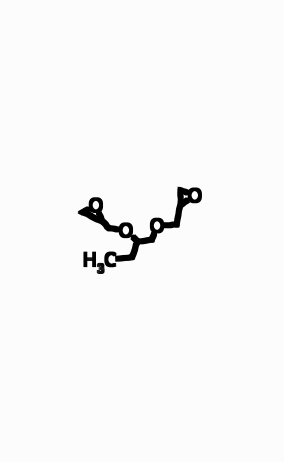 CCC(COCC1CO1)OCC1CO1